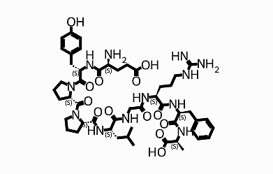 CC(C)C[C@H](NC(=O)[C@@H]1CCCN1C(=O)[C@@H]1CCCN1C(=O)[C@H](Cc1ccc(O)cc1)NC(=O)[C@@H](N)CCC(=O)O)C(=O)NCC(=O)N[C@@H](CCCNC(=N)N)C(=O)N[C@@H](Cc1ccccc1)C(=O)N[C@@H](C)C(=O)O